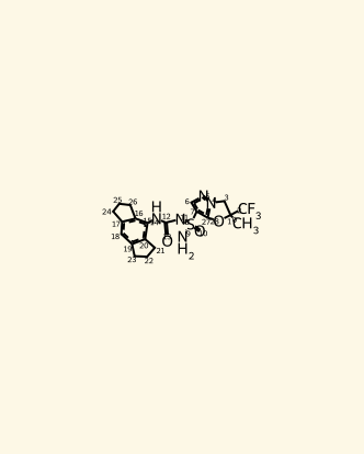 CC1(C(F)(F)F)Cn2ncc(S(N)(=O)=NC(=O)Nc3c4c(cc5c3CCC5)CCC4)c2O1